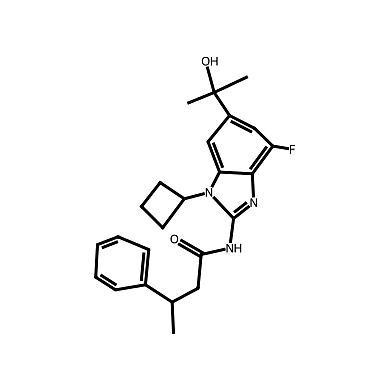 CC(CC(=O)Nc1nc2c(F)cc(C(C)(C)O)cc2n1C1CCC1)c1ccccc1